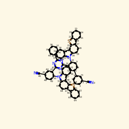 N#Cc1cccc(-c2ccc(-n3c4ccccc4c4c5sc6ccccc6c5ccc43)c(-c3nc(-c4ccccc4)nc(-c4cc(C#N)ccc4-n4c5ccccc5c5c6sc7ccccc7c6ccc54)n3)c2)c1